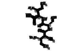 CC[C@H](C)[C@H](N)C(=O)N[C@@H](CO)C(=O)N[C@H](C(=O)O)[C@@H](C)CC